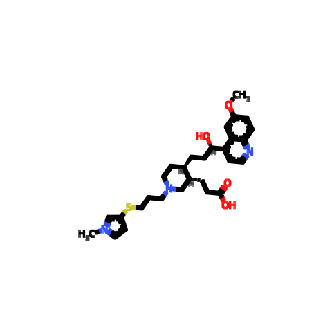 COc1ccc2nccc([C@H](O)CC[C@@H]3CCN(CCCSc4ccn(C)c4)C[C@H]3CCC(=O)O)c2c1